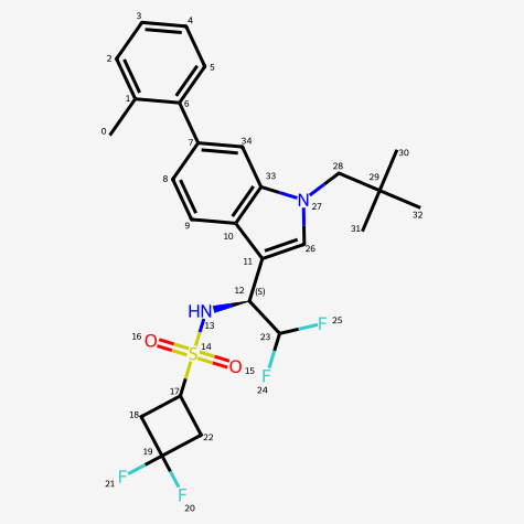 Cc1ccccc1-c1ccc2c([C@H](NS(=O)(=O)C3CC(F)(F)C3)C(F)F)cn(CC(C)(C)C)c2c1